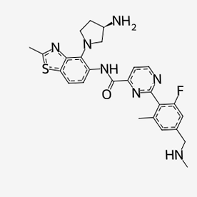 CNCc1cc(C)c(-c2nccc(C(=O)Nc3ccc4sc(C)nc4c3N3CC[C@@H](N)C3)n2)c(F)c1